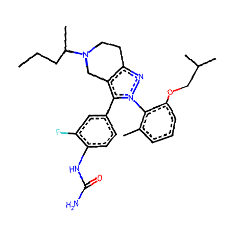 CCCC(C)N1CCc2nn(-c3c(C)cccc3OCC(C)C)c(-c3ccc(NC(N)=O)c(F)c3)c2C1